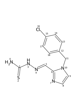 NC(=S)N/N=C/c1nccn1Cc1ccc(Cl)cc1